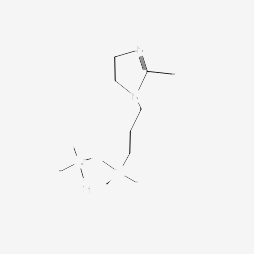 CC1=NCCN1CCC[Si@](C)(I)O[Si](C)(C)I